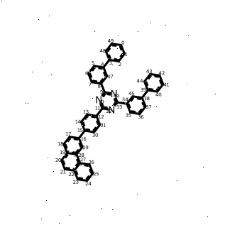 c1ccc(-c2cccc(-c3nc(-c4ccc(-c5ccc6ccc7ccccc7c6c5)cc4)nc(-c4cccc(-c5ccccc5)c4)n3)c2)cc1